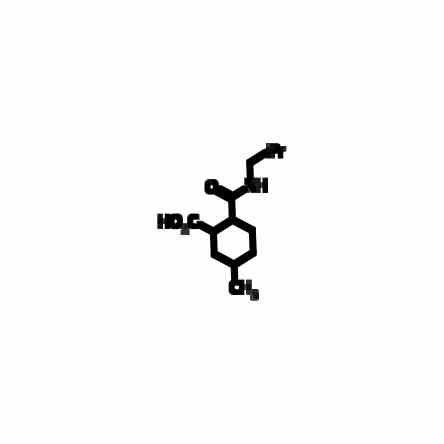 CC(C)CNC(=O)C1CCC(C)CC1C(=O)O